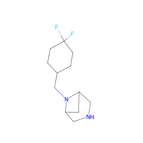 FC1(F)CCC(CN2C3CNCC2C3)CC1